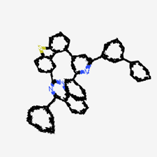 c1ccc(-c2cccc(-c3cc(-c4cccc5sc6ccc(-c7nc(-c8ccccc8)c8ccccc8n7)cc6c45)cc(-c4ccccc4)n3)c2)cc1